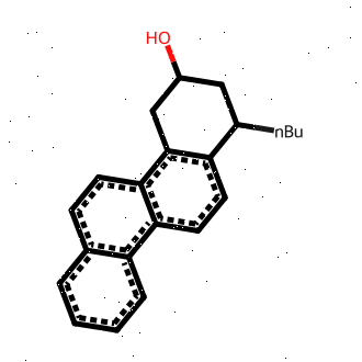 CCCCC1CC(O)Cc2c1ccc1c2ccc2ccccc21